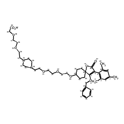 Cc1cc(C)c(C2=C(OCc3ccccc3)C3(CCC(OCCOCCOCCN4CCN(CCOCCOCC(=O)O)CC4)CC3)OC2=O)c(C)c1